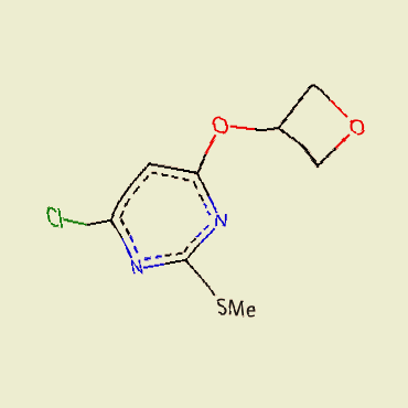 CSc1nc(Cl)cc(OC2COC2)n1